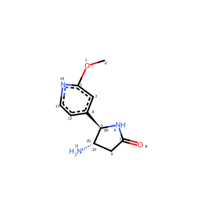 COc1cc([C@H]2NC(=O)C[C@@H]2N)ccn1